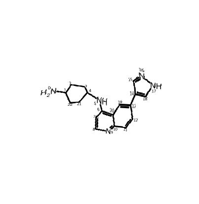 NC1CCC(Nc2[c]cnc3ccc(-c4cn[nH]c4)cc23)CC1